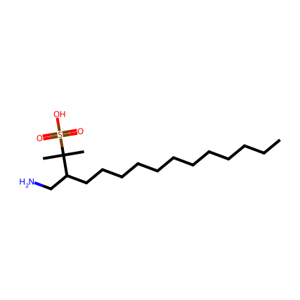 CCCCCCCCCCCCC(CN)C(C)(C)S(=O)(=O)O